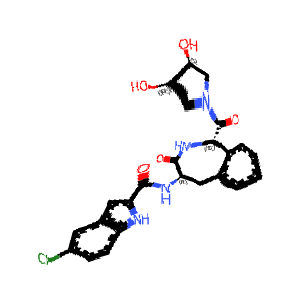 O=C(N[C@@H]1Cc2ccccc2[C@@H](C(=O)N2C[C@@H](O)[C@@H](O)C2)NC1=O)c1cc2cc(Cl)ccc2[nH]1